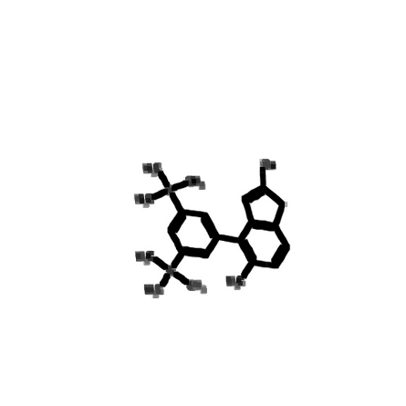 CCC(C)C1=Cc2c(ccc(C)c2-c2cc([Si](C)(C)C)cc([Si](C)(C)C)c2)[CH]1